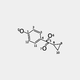 [O]c1ccc(S(=O)(=O)C2CC2)cc1